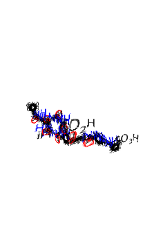 CC(C)C1NC(=O)[C@@H](Cc2ccc(OCCCNC(=O)c3ccc(N/N=C/c4ccccc4S(=O)(=O)O)nc3)cc2)NC(=O)[C@H](CC(=O)O)NC(=O)CNC(=O)[C@H](CCCNC(=O)NCc2ccccc2)NC1=O